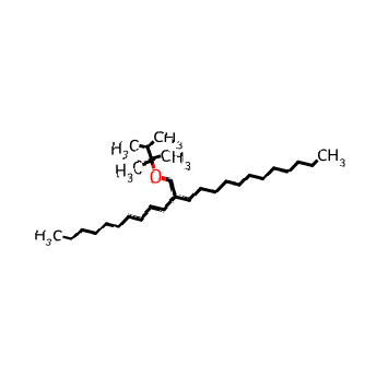 CCCCCCCCCCCCC(CCCCCCCCCC)COC(C)(C)C(C)C